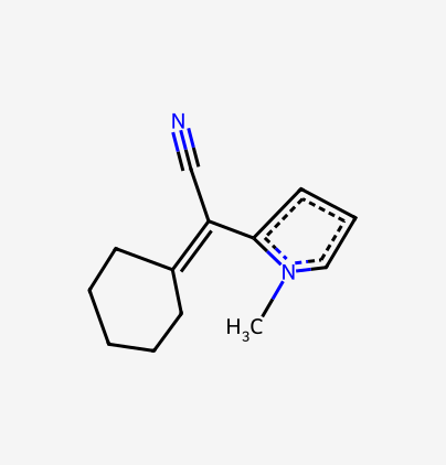 Cn1cccc1C(C#N)=C1CCCCC1